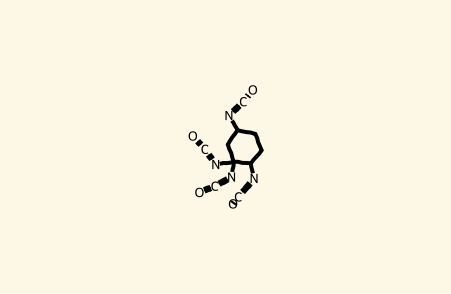 O=C=NC1CCC(N=C=O)C(N=C=O)(N=C=O)C1